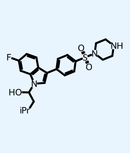 CC(C)CC(O)n1cc(-c2ccc(S(=O)(=O)N3CCNCC3)cc2)c2ccc(F)cc21